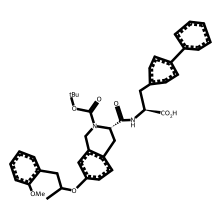 COc1ccccc1CC(C)Oc1ccc2c(c1)CN(C(=O)OC(C)(C)C)[C@H](C(=O)N[C@@H](Cc1ccc(-c3ccccc3)cc1)C(=O)O)C2